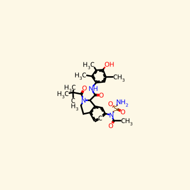 CC(=O)N(c1ccc2c(c1)C(C(=O)Nc1cc(C)c(O)c(C)c1C)N(C(=O)C(C)(C)C)CC2)S(N)(=O)=O